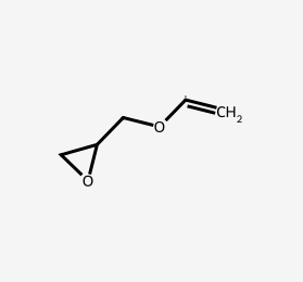 C=[C]OCC1CO1